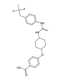 C=C(Nc1ccc(CC(C)(F)F)cc1)NC1CCC(Oc2ccc(C(=O)O)cc2)CC1